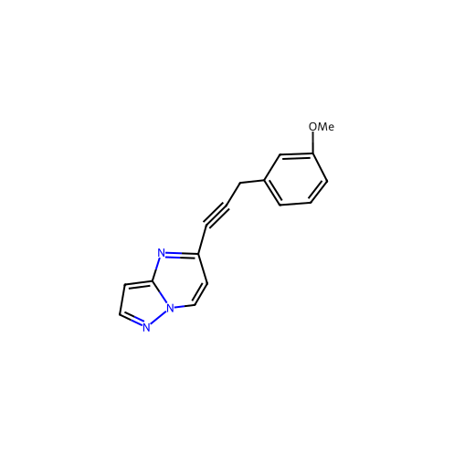 COc1cccc(CC#Cc2ccn3nccc3n2)c1